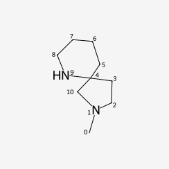 CN1CCC2(CCCCN2)C1